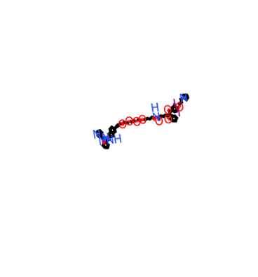 O=C(CCCc1oc2ccccc2c1C(=O)c1cc(I)c(OCCCN2CCCC2)c(I)c1)NCCCCCOCCOCCOCCOCC#Cc1ccc2c(c1)CC(Nc1nc(-c3cccnc3)nc3ccccc13)C2